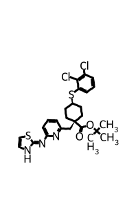 CC(C)(C)OC(=O)[C@]1(Cc2cccc(/N=c3/[nH]ccs3)n2)CC[C@@H](Sc2cccc(Cl)c2Cl)CC1